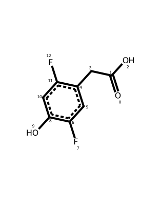 O=C(O)Cc1cc(F)c(O)cc1F